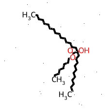 CCCCCCCCCCCCCCCCC(O)(CCCCCCCCCCCC)C(=O)OCCCCCCCC